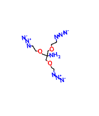 [N-]=[N+]=NCCOCC(N)(COCCN=[N+]=[N-])COCCN=[N+]=[N-]